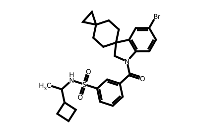 CC(NS(=O)(=O)c1cccc(C(=O)N2CC3(CCC4(CC4)CC3)c3cc(Br)ccc32)c1)C1CCC1